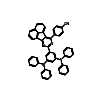 N#Cc1ccc(-c2nc(-c3cc(N(c4ccccc4)c4ccccc4)cc(N(c4ccccc4)c4ccccc4)c3)nc3c2-c2cccc4cccc-3c24)cc1